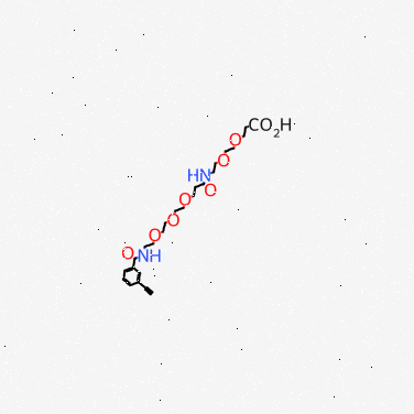 C#Cc1cccc(C(=O)NCCOCCOCCOCCC(=O)NCCOCCOCCC(=O)O)c1